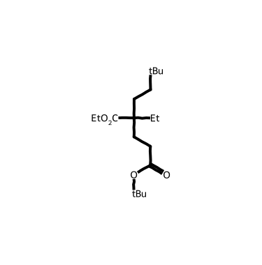 CCOC(=O)C(CC)(CCC(=O)OC(C)(C)C)CCC(C)(C)C